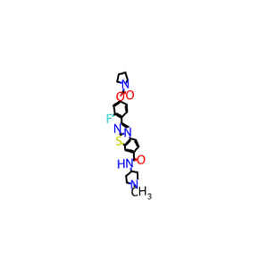 CN1CCC(NC(=O)c2ccc3c(c2)sc2nc(-c4ccc(OC(=O)N5CCCC5)cc4F)cn23)CC1